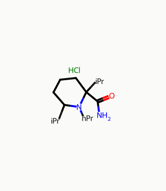 CCCN1C(C(C)C)CCCC1(C(N)=O)C(C)C.Cl